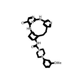 COc1cccc(N2CCN(C(=O)Nc3ccc4cc3CCc3cncc(c3)Nc3ncc(Cl)c(n3)N4)CC2)c1